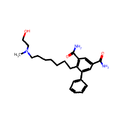 CN(CCO)CCCCCCCc1c(C(N)=O)cc(C(N)=O)cc1-c1ccccc1